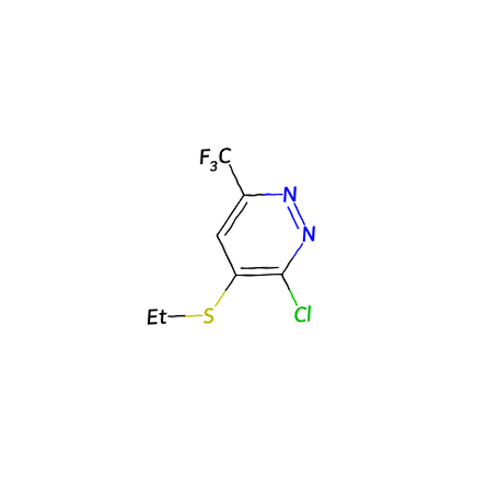 CCSc1cc(C(F)(F)F)nnc1Cl